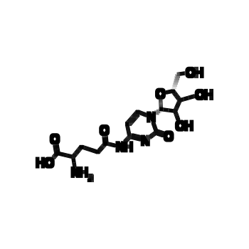 NC(CCC(=O)Nc1ccn([C@@H]2O[C@H](CO)C(O)C2O)c(=O)n1)C(=O)O